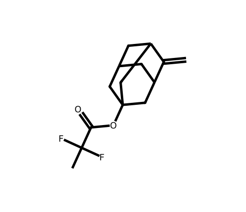 C=C1C2CC3CC1CC(OC(=O)C(C)(F)F)(C3)C2